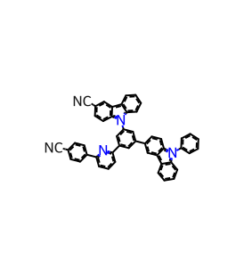 N#Cc1ccc(-c2cccc(-c3cc(-c4ccc5c(c4)c4ccccc4n5-c4ccccc4)cc(-n4c5ccccc5c5cc(C#N)ccc54)c3)n2)cc1